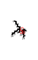 CCCCCCC(CC)(CCCCCC)O[Si](CC)(OC)OCCC